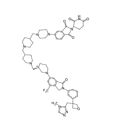 Cn1cnnc1CC1(c2cccc(N3Cc4c(cc(N5CCC[C@H](CN6CCC(CN7CCC(CN8CCN(c9ccc%10c(c9)C(=O)N(C9CCC(=O)NC9=O)C%10=O)CC8)CC7)CC6)C5)cc4C(F)(F)F)C3=O)c2)COC1